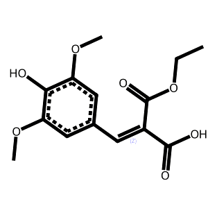 CCOC(=O)/C(=C\c1cc(OC)c(O)c(OC)c1)C(=O)O